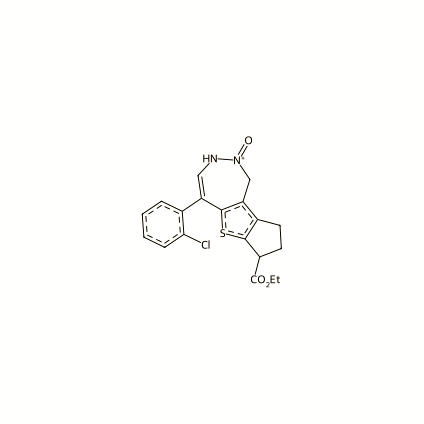 CCOC(=O)C1CCc2c1sc1c2C[N+](=O)NC=C1c1ccccc1Cl